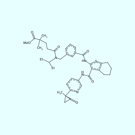 CCC(CC)N(Cc1cccc(C(=O)Nc2sc3c(c2C(=O)Nc2ccc(C4(C)CC4=O)nc2)CCCC3)c1)C(=O)CCC(C)(C)C(=O)OC